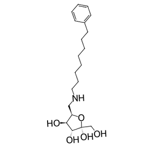 OC[C@]1(O)O[C@H](CNCCCCCCCCc2ccccc2)[C@H](O)[C@H]1O